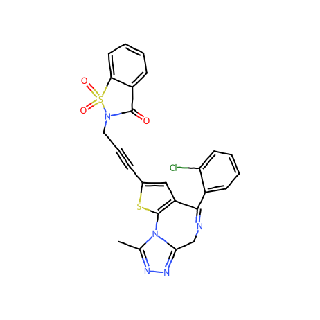 Cc1nnc2n1-c1sc(C#CCN3C(=O)c4ccccc4S3(=O)=O)cc1C(c1ccccc1Cl)=NC2